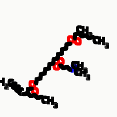 C=C=C=C=CC(CCCCC)CC(=O)OCCCCCCCCC(CCCCCCCCOC(=O)CC(C)CCCCC)OC(=O)CCCN(C)C